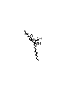 CCCCCCCCCCC(O)(CCO)CNOC(=O)CCCC